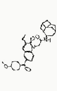 CCc1cc2cc(C(=O)C3CCC(OC)CC3)ccc2n(CC(=O)NC23CC4CC5CC(C2)C5(C4)C3)c1=O